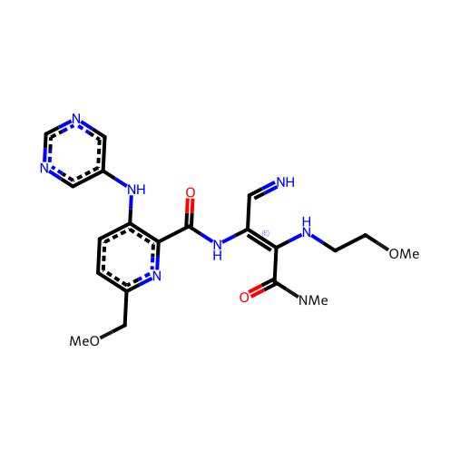 CNC(=O)/C(NCCOC)=C(/C=N)NC(=O)c1nc(COC)ccc1Nc1cncnc1